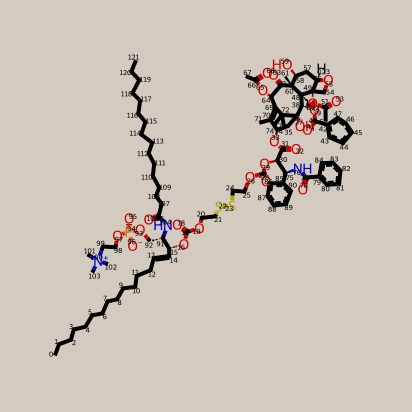 CCCCCCCCCCCCC/C=C/[C@@H](OC(=O)OCCSSCCOC(=O)O[C@@H](C(=O)O[C@H]1C[C@@]2(O)[C@@H](OC(=O)c3ccccc3)[C@@H]3[C@]4(OC(C)=O)CO[C@@H]4C[C@H](O)[C@@]3(C)C(=O)[C@H](OC(C)=O)C(=C1C)C2(C)C)[C@@H](NC(=O)c1ccccc1)c1ccccc1)[C@H](COP(=O)([O-])OCC[N+](C)(C)C)NC(=O)CCCCCCCCCCCCCCC